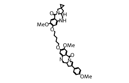 COc1ccc(C2=CN3C(=O)c4cc(OC)c(OCCCCCOc5cc6c(cc5OC)C(=O)N5CC7(CC7)C[C@H]5CN6)cc4N=CC3C2)cc1